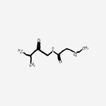 CNCC(=O)NCC(=O)C(C)C